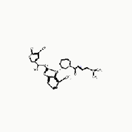 Cc1cccc2nc(NC(O)c3cnc(Cl)c(Cl)c3)n([C@@H]3CCCCN(C(=O)/C=C/CN(C)C)C3)c12